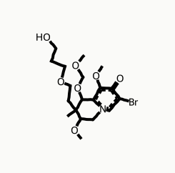 COCOC1c2c(OC)c(=O)c(Br)cn2CC(OC)C1(C)CCOCCCO